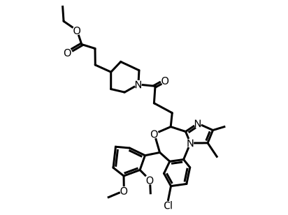 CCOC(=O)CCC1CCN(C(=O)CCC2OC(c3cccc(OC)c3OC)c3cc(Cl)ccc3-n3c2nc(C)c3C)CC1